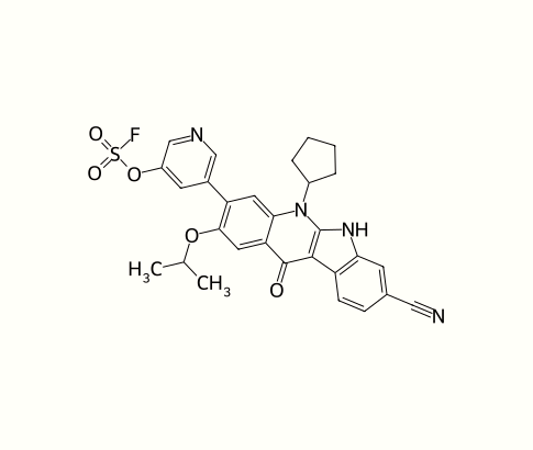 CC(C)Oc1cc2c(=O)c3c4ccc(C#N)cc4[nH]c3n(C3CCCC3)c2cc1-c1cncc(OS(=O)(=O)F)c1